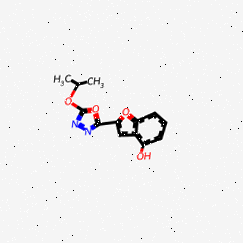 CC(C)Oc1nnc(-c2cc3c(O)cccc3o2)o1